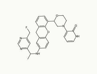 CC(Nc1ccc2c(c1)Cc1cccc(C3CN(c4ccc[nH]c4=O)CCO3)c1O2)c1cc(CF)ncn1